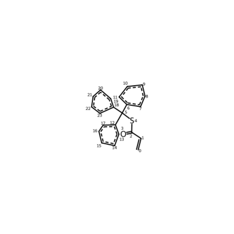 C=CC(=O)SC(c1ccccc1)(c1ccccc1)c1ccccc1